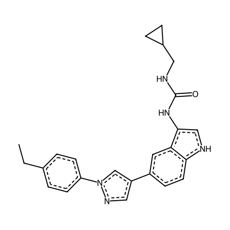 CCc1ccc(-n2cc(-c3ccc4[nH]cc(NC(=O)NCC5CC5)c4c3)cn2)cc1